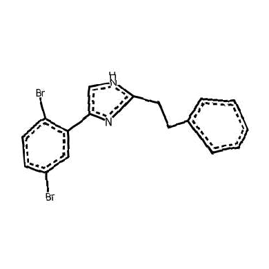 Brc1ccc(Br)c(-c2c[nH]c(CCc3ccccc3)n2)c1